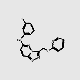 Clc1cccc(Nc2ccc3nnc(COc4ccccn4)n3n2)c1